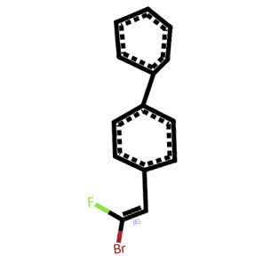 F/C(Br)=C\c1ccc(-c2ccccc2)cc1